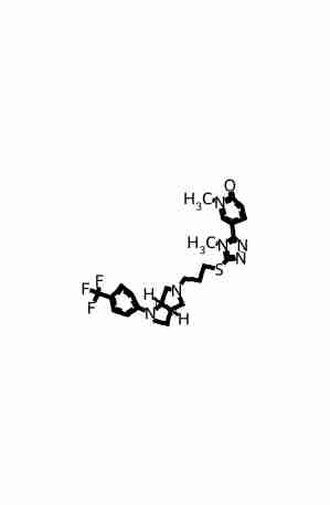 Cn1c(SCCCN2C[C@@H]3CCN(c4ccc(C(F)(F)F)cc4)[C@@H]3C2)nnc1-c1ccc(=O)n(C)c1